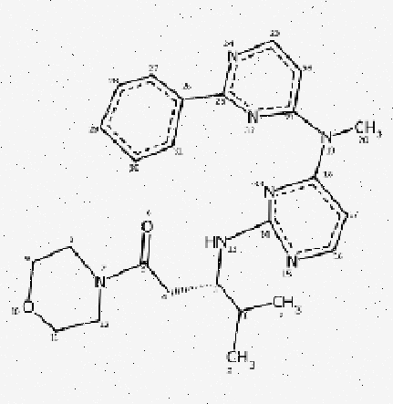 CC(C)[C@H](CC(=O)N1CCOCC1)Nc1nccc(N(C)c2ccnc(-c3ccccc3)n2)n1